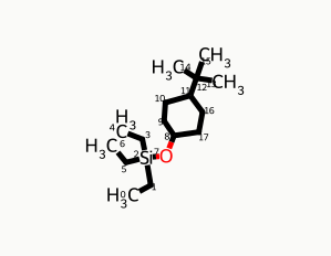 CC[Si](CC)(CC)OC1CCC(C(C)(C)C)CC1